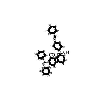 O=C(O)c1ccccc1.O=C(O)c1ccccc1.c1ccc(N=Nc2ccccc2)cc1.c1ccc(N=Nc2ccccc2)cc1